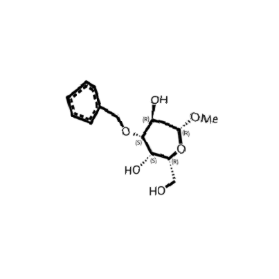 CO[C@@H]1O[C@H](CO)[C@H](O)[C@H](OCc2ccccc2)[C@H]1O